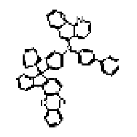 c1ccc(-c2ccc(N(c3ccc(C4(c5ccccc5)c5ccccc5-c5c4ccc4c5Oc5ccccc5O4)cc3)c3cc4cccnc4c4ncccc34)cc2)cc1